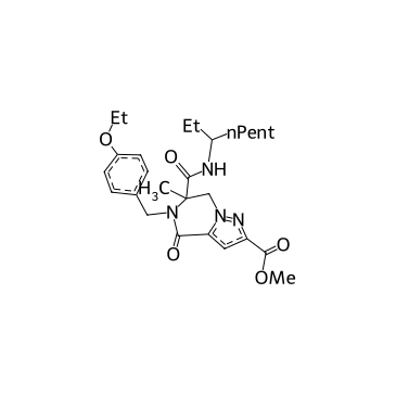 CCCCCC(CC)NC(=O)C1(C)Cn2nc(C(=O)OC)cc2C(=O)N1Cc1ccc(OCC)cc1